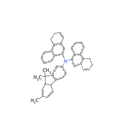 CC1=CC2C(C=C1)c1ccc(N(c3cc4c(c5ccccc35)CCC=C4)c3cc4c(c5ccccc35)CCC=C4)cc1C2(C)C